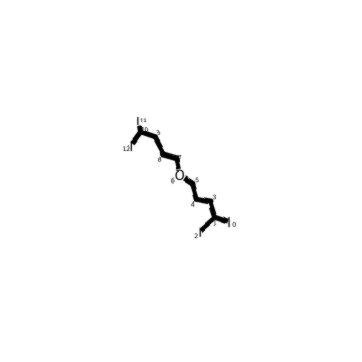 IC(I)CCCOCCCC(I)I